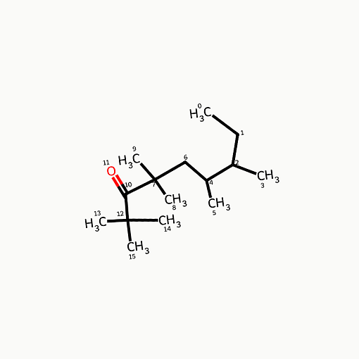 CCC(C)C(C)CC(C)(C)C(=O)C(C)(C)C